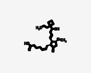 CCCC1(C(O)C/C=C/[C@H]2[C@H](OC)CC(=O)[C@@H]2C/C=C\CCCC(=O)O)CCC1